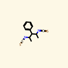 CC(N=C=S)C(c1ccccc1)C(C)N=C=S